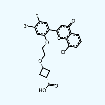 O=c1cc(-c2cc(F)c(Br)cc2OCCO[C@H]2C[C@@H](C(=O)O)C2)oc2c(Cl)cccc12